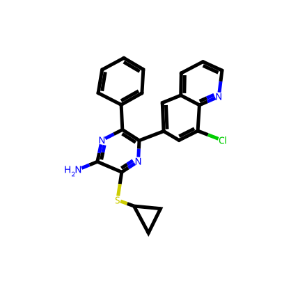 Nc1nc(-c2ccccc2)c(-c2cc(Cl)c3ncccc3c2)nc1SC1CC1